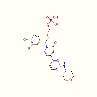 O=c1cc(-c2ccnc(NC3CCOCC3)n2)ccn1C(COCOP(=O)(O)O)c1ccc(Cl)c(F)c1